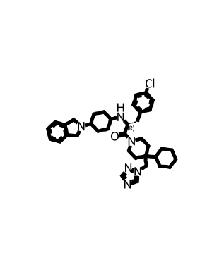 O=C([C@@H](Cc1ccc(Cl)cc1)NC1CCC(N2Cc3ccccc3C2)CC1)N1CCC(Cn2cncn2)(C2CCCCC2)CC1